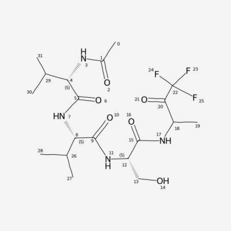 CC(=O)N[C@H](C(=O)N[C@H](C(=O)N[C@@H](CO)C(=O)NC(C)C(=O)C(F)(F)F)C(C)C)C(C)C